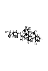 CC[S+]([O-])c1ccc(CNc2nc3c(C)nc(-c4c(C)ncnc4C4CC4)nc3n([C@@H](C)C(F)(F)F)c2=O)nc1